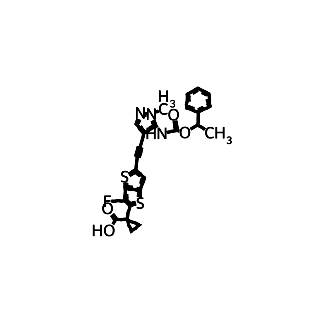 CC(OC(=O)Nc1c(C#Cc2cc3sc(C4(C(=O)O)CC4)c(F)c3s2)cnn1C)c1ccccc1